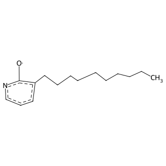 CCCCCCCCCCc1cccnc1[O]